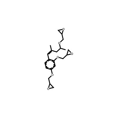 CC(=Cc1ccc(OCC2CO2)cc1OCC1CO1)CC(C)OCC1CO1